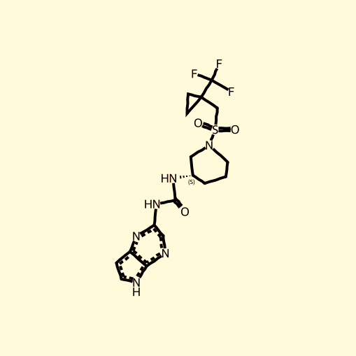 O=C(Nc1cnc2[nH]ccc2n1)N[C@H]1CCCN(S(=O)(=O)CC2(C(F)(F)F)CC2)C1